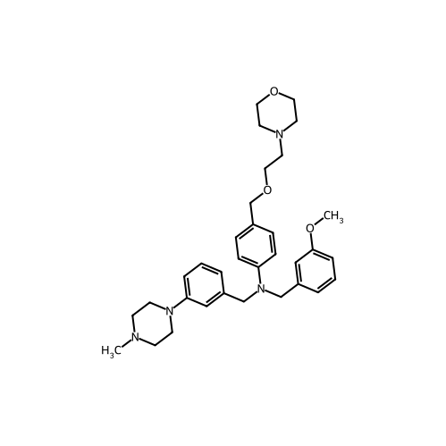 COc1cccc(CN(Cc2cccc(N3CCN(C)CC3)c2)c2ccc(COCCN3CCOCC3)cc2)c1